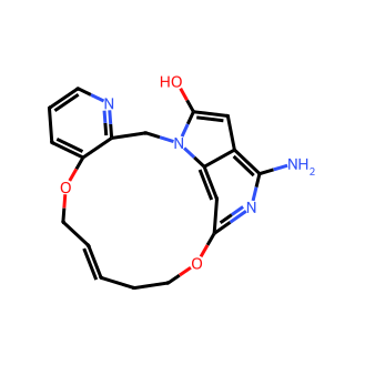 Nc1nc2cc3c1cc(O)n3Cc1ncccc1OC/C=C/CCO2